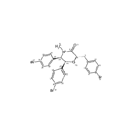 CN1C(=O)[C@H](Cc2ccc(Br)cc2)O[C@@H](c2ccc(Br)cc2)[C@H]1c1ccc(Br)cc1